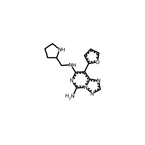 Nc1nc(NCC2CCCN2)c(-c2ccco2)c2ncnn12